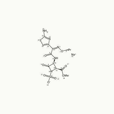 CCCON=C(C(=O)N[C@@H]1C(=O)N(S(=O)(=O)[O-])[C@@H]1C(=O)OC)c1csc(N)n1.[Na+]